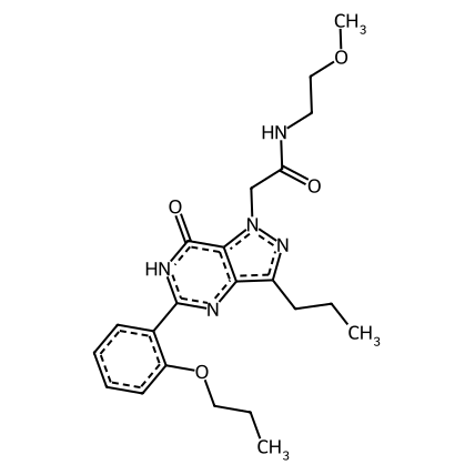 CCCOc1ccccc1-c1nc2c(CCC)nn(CC(=O)NCCOC)c2c(=O)[nH]1